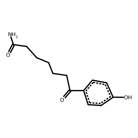 NC(=O)CCCCCC(=O)c1ccc(O)cc1